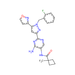 Nc1nc(-c2cc(-c3ccon3)n(Cc3ccccc3F)n2)ncc1NC(=O)C1(C(F)(F)F)CCC1